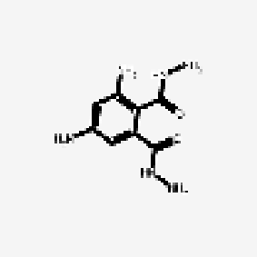 NNC(=O)c1cc(N)cc(N)c1C(=O)NN